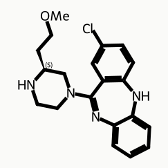 COCC[C@H]1CN(C2=Nc3ccccc3Nc3ccc(Cl)cc32)CCN1